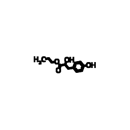 CCCOC(=O)C(O)Cc1ccc(O)cc1